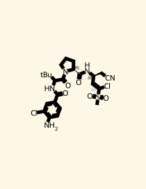 CC(C)(C)C(NC(=O)c1ccc(N)c(Cl)c1)C(=O)N1CCC[C@@H]1C(=O)N[C@H](/C=C(\Cl)S(C)(=O)=O)CC#N